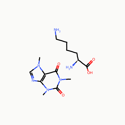 Cn1c(=O)c2c(ncn2C)n(C)c1=O.NCCCC[C@H](N)C(=O)O